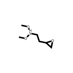 CO[SiH](CCC1CO1)OC